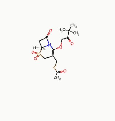 CC(=O)SCC1=C(OCC(=O)C(C)(C)C)N2C(=O)C[C@@H]2S(=O)(=O)C1